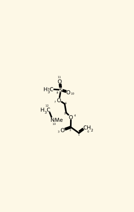 C=CC(=O)OCCOS(C)(=O)=O.CNC